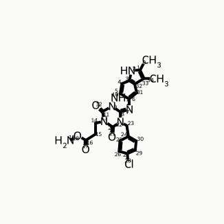 Cc1[nH]c2ccc(/N=c3\n(N)c(=O)n(CCC(=O)ON)c(=O)n3Cc3ccc(Cl)cc3)cc2c1C